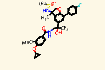 COc1cc(C(=O)NCC(O)(c2cc(-c3ccc(F)cc3)c3c(c2)C(C)(N[S+]([O-])C(C)(C)C)CO3)C(F)(F)F)ccc1OC1CC1